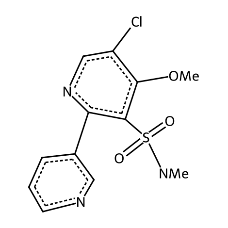 CNS(=O)(=O)c1c(-c2cccnc2)ncc(Cl)c1OC